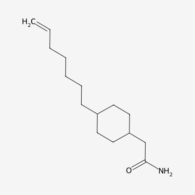 C=CCCCCCC1CCC(CC(N)=O)CC1